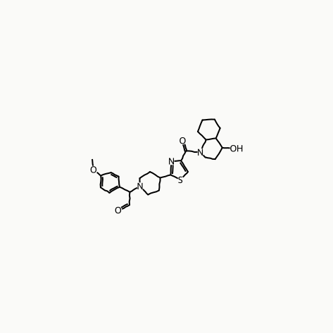 COc1ccc(C(C=O)N2CCC(c3nc(C(=O)N4CCC(O)C5CCCCC54)cs3)CC2)cc1